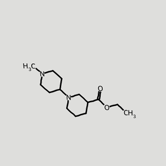 CCOC(=O)C1CCCN(C2CCN(C)CC2)C1